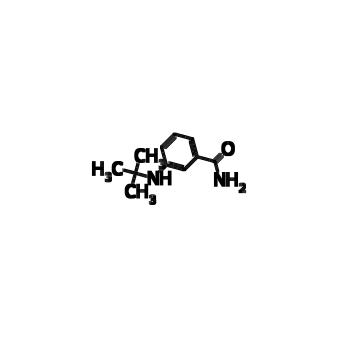 CC(C)(C)Nc1cccc(C(N)=O)c1